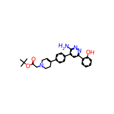 CC(C)(C)OC(=O)CN1CC=C(c2ccc(-c3cc(-c4ccccc4O)nnc3N)cc2)CC1